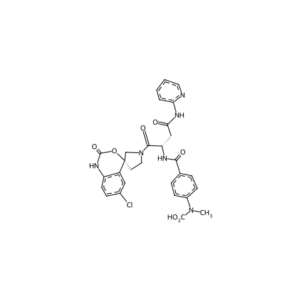 CN(C(=O)O)c1ccc(C(=O)N[C@@H](CC(=O)Nc2ccccn2)C(=O)N2CC[C@@]3(C2)OC(=O)Nc2ccc(Cl)cc23)cc1